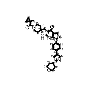 CC1(C(=O)N2CCC(O)(Cn3cnc4c(cnn4-c4ccc(-c5cnn(C6CCOCC6)c5)cc4)c3=O)CC2)CC1